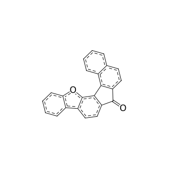 O=C1c2ccc3ccccc3c2-c2c1ccc1c2oc2ccccc21